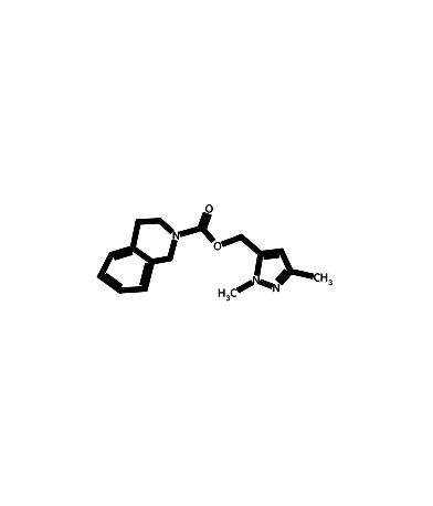 Cc1cc(COC(=O)N2CCc3ccccc3C2)n(C)n1